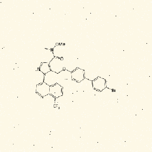 CON(C)C(=O)c1cnn(-c2ccnc3c(C(F)(F)F)cccc23)c1COc1ccc(-c2ccc(Br)cc2)cc1